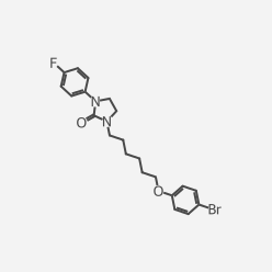 O=C1N(CCCCCCOc2ccc(Br)cc2)CCN1c1ccc(F)cc1